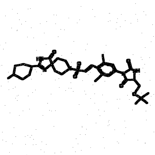 Cc1cc(N2C(=O)NC(COC(C)(C)C)C2=O)cc(C)c1/C=C/S(=O)(=O)N1CCC2(CC1)N=C(C1CCC(C)CC1)NC2=O